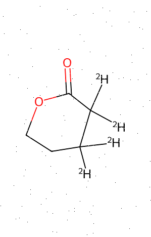 [2H]C1([2H])CCOC(=O)C1([2H])[2H]